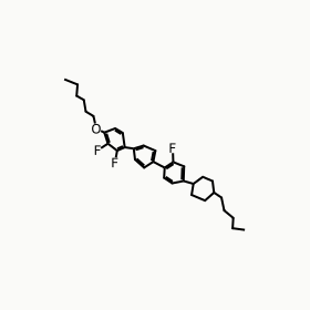 CCCCCCOc1ccc(-c2ccc(-c3ccc(C4CCC(CCCCC)CC4)cc3F)cc2)c(F)c1F